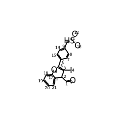 O=CC1C(I)=C(c2ccc(C[SH](=O)=O)cc2)Oc2ccccc21